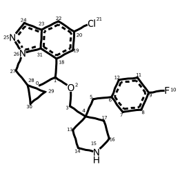 CC(OCC1(Cc2ccc(F)cc2)CCNCC1)c1cc(Cl)cc2cnn(CC3CC3)c12